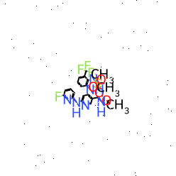 CONC(=O)c1cnc(Nc2cccc(F)n2)cc1Nc1cccc(C(F)(F)F)c1N(C)S(C)(=O)=O